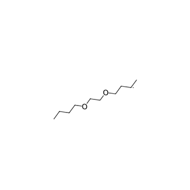 C[CH]CCOCCOCCCC